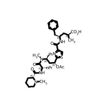 CCC[C@H](NC(=O)[C@H]1CCCCN1C)C(=O)N(C)[C@H](C[C@@H](OC(C)=O)c1nc(C(=O)N[C@@H](Cc2ccccc2)C[C@H](C)C(=O)O)cs1)C(C)C